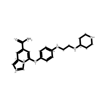 NC(=O)c1cc(Oc2ccc(OCCOC3CCOCC3)cc2)n2cncc2c1